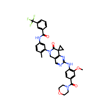 COc1cc(C(=O)N2CCOCC2)ccc1Nc1ncc2c(n1)C1(CC1)C(=O)N(c1cc(NC(=O)c3cccc(C(F)(F)F)c3)ccc1C)C2